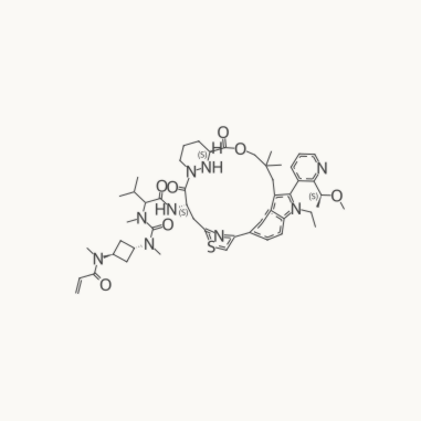 C=CC(=O)N(C)[C@H]1C[C@H](N(C)C(=O)N(C)C(C(=O)N[C@H]2Cc3nc(cs3)-c3ccc4c(c3)c(c(-c3cccnc3[C@H](C)OC)n4CC)CC(C)(C)COC(=O)[C@@H]3CCCN(N3)C2=O)C(C)C)C1